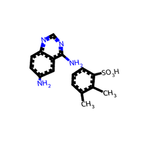 Cc1cccc(S(=O)(=O)O)c1C.Nc1ccc2ncnc(N)c2c1